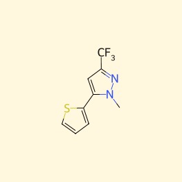 Cn1nc(C(F)(F)F)cc1-c1cccs1